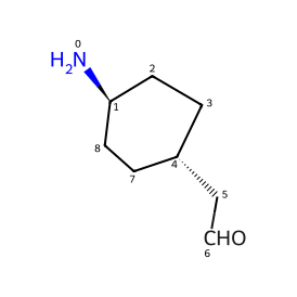 N[C@H]1CC[C@H](CC=O)CC1